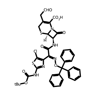 CC(C)(C)OC(=O)Nc1nc(C(=NOC(c2ccccc2)(c2ccccc2)c2ccccc2)C(=O)N[C@@H]2C(=O)N3C(C(=O)O)=C(CC=O)CS[C@H]23)c(Cl)s1